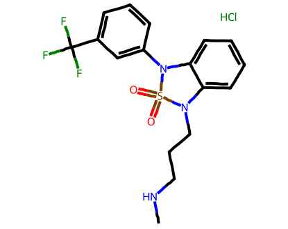 CNCCCN1c2ccccc2N(c2cccc(C(F)(F)F)c2)S1(=O)=O.Cl